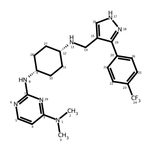 CN(C)c1ccnc(N[C@H]2CC[C@@H](NCc3c[nH]nc3-c3ccc(C(F)(F)F)cc3)CC2)n1